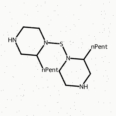 CCCCCC1CNCCN1SN1CCNCC1CCCCC